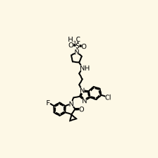 CS(=O)(=O)N1CCC(NCCCn2c(CN3C(=O)C4(CC4)c4ccc(F)cc43)nc3cc(Cl)ccc32)C1